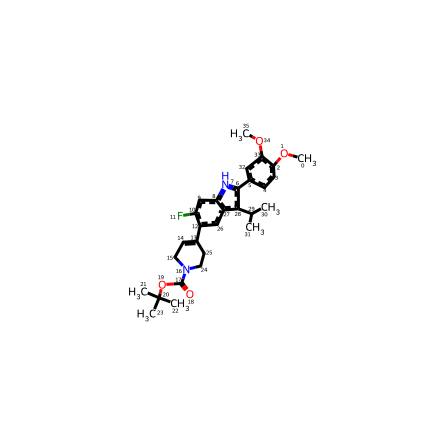 COc1ccc(-c2[nH]c3cc(F)c(C4=CCN(C(=O)OC(C)(C)C)CC4)cc3c2C(C)C)cc1OC